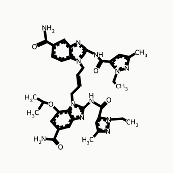 CCn1nc(C)cc1C(=O)Nc1nc2cc(C(N)=O)ccc2n1CC=CCn1c(NC(=O)c2cc(C)nn2CC)nc2cc(C(N)=O)cc(OC(C)C)c21